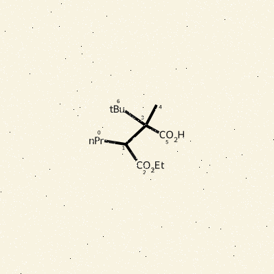 CCCC(C(=O)OCC)C(C)(C(=O)O)C(C)(C)C